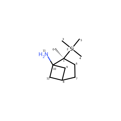 C[C@]1([Si](C)(C)C)CCC2CC1(N)C2